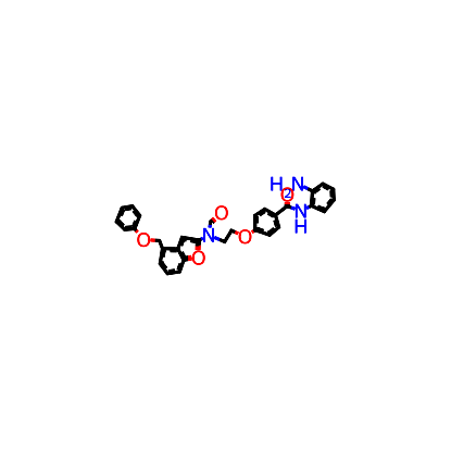 Nc1ccccc1NC(=O)c1ccc(OCCN(C=O)c2cc3c(COc4ccccc4)cccc3o2)cc1